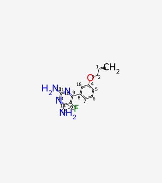 C=CCOc1cccc(-c2nc(N)nc(N)c2F)c1